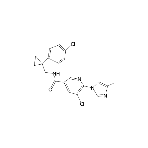 Cc1cn(-c2ncc(C(=O)NCC3(c4ccc(Cl)cc4)CC3)cc2Cl)cn1